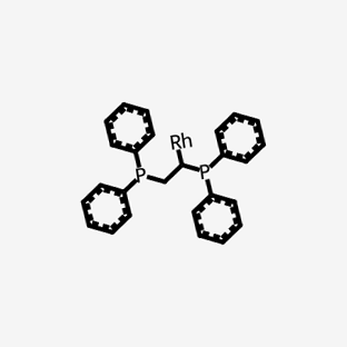 [Rh][CH](CP(c1ccccc1)c1ccccc1)P(c1ccccc1)c1ccccc1